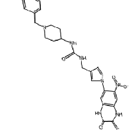 O=C(NCc1ccn(-c2cc3[nH]c(=O)c(=O)[nH]c3cc2[N+](=O)[O-])c1)NC1CCN(Cc2ccccc2)CC1